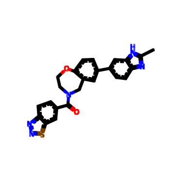 Cc1nc2ccc(-c3ccc4c(c3)CN(C(=O)c3ccc5nnsc5c3)CCO4)cc2[nH]1